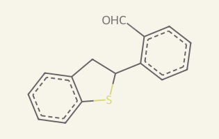 O=Cc1ccccc1C1Cc2ccccc2S1